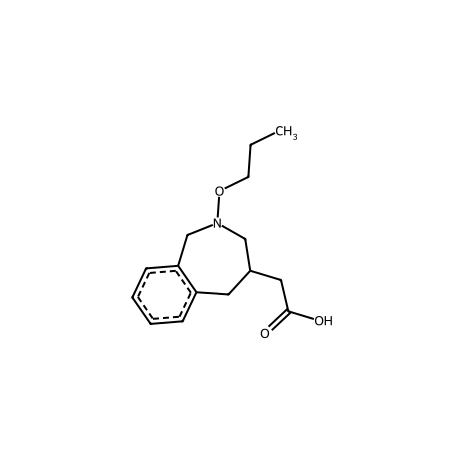 CCCON1Cc2ccccc2CC(CC(=O)O)C1